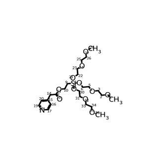 COCCOCCO[Si](CCOC(=O)Cc1ccncc1)(OCCOCCOC)OCCOCCOC